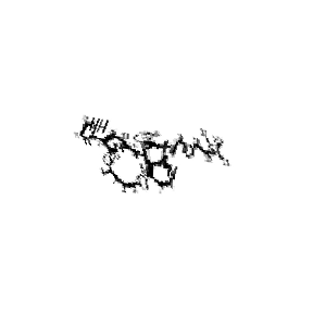 CC1CCCOc2ccnc3c2n(c(=O)n3COCC[Si](C)(C)C)-c2ccc(-c3ncc[nH]3)c(n2)O1